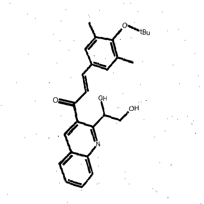 Cc1cc(/C=C/C(=O)c2cc3ccccc3nc2C(O)CO)cc(C)c1OC(C)(C)C